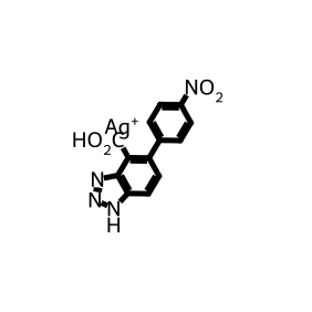 O=C(O)c1c(-c2ccc([N+](=O)[O-])cc2)ccc2[nH]nnc12.[Ag+]